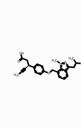 CC#C[C@@H](CC(=O)O)c1ccc(OCc2cccc3c(CC(C)C)nn(C)c23)cc1